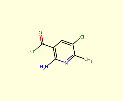 Cc1nc(N)c(C(=O)Cl)cc1Cl